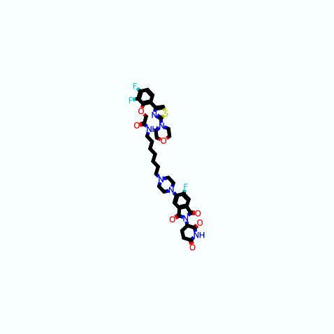 O=C(COc1c(-c2csc(N3CCOCC3)n2)ccc(F)c1F)NCCCCCCCN1CCN(c2cc3c(cc2F)C(=O)N(C2CCC(=O)NC2=O)C3=O)CC1